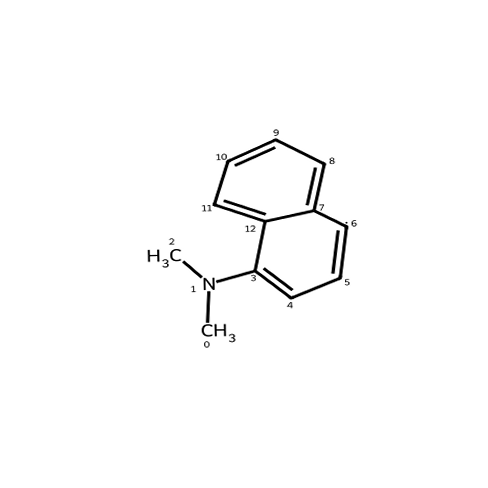 CN(C)c1cc[c]c2ccccc12